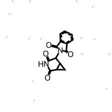 O=C1NC(=O)C(N2C(=O)c3ccccc3C2=O)C2CC12